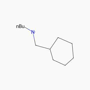 CCCC[N]CC1CCCCC1